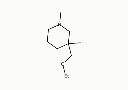 CCOCC1(C)CCCN(C)C1